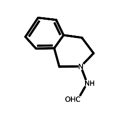 O=CNN1CCc2ccccc2C1